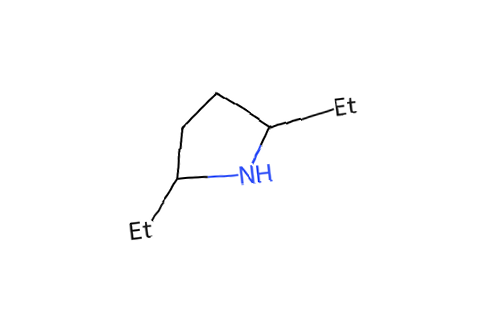 CCC1CCC(CC)N1